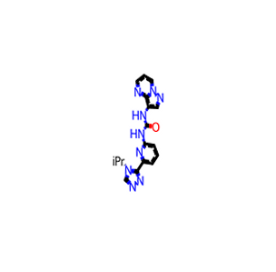 CC(C)n1cnnc1-c1cccc(NC(=O)Nc2cnn3cccnc23)n1